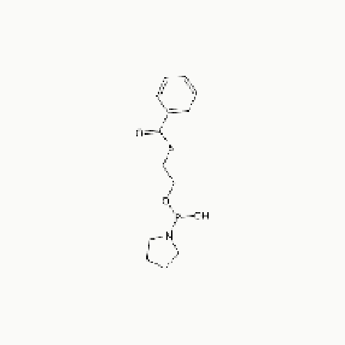 O=C(SCCOP(O)N1CCCC1)c1ccccc1